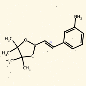 CC1(C)OB(/C=C/c2cccc(N)c2)OC1(C)C